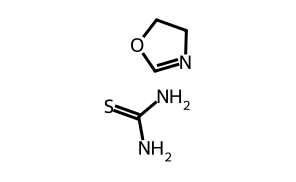 C1=NCCO1.NC(N)=S